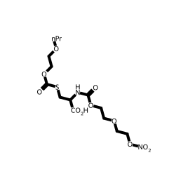 CCCOCCOC(=O)SCC(NC(=O)OCCOCCO[N+](=O)[O-])C(=O)O